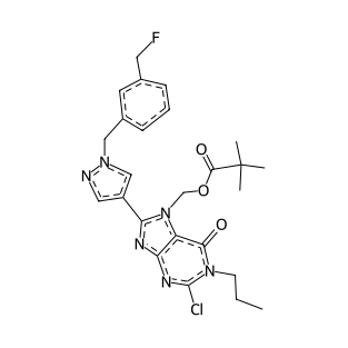 CCCn1c(Cl)nc2nc(-c3cnn(Cc4cccc(CF)c4)c3)n(COC(=O)C(C)(C)C)c2c1=O